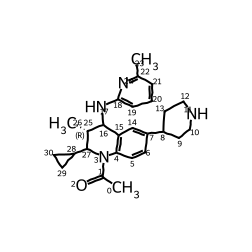 CC(=O)N1c2ccc(C3CCNCC3)cc2C(Nc2cccc(C)n2)[C@@H](C)C1C1CC1